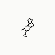 O=C1N=c2c(ccc3c2=CC=N3)C=C1C1CC1